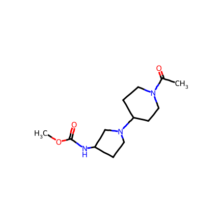 COC(=O)NC1CCN(C2CCN(C(C)=O)CC2)C1